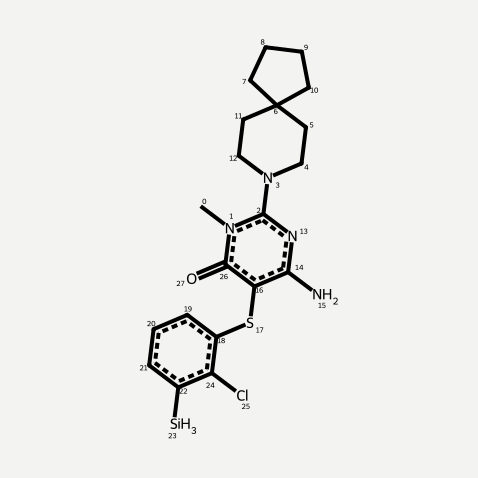 Cn1c(N2CCC3(CCCC3)CC2)nc(N)c(Sc2cccc([SiH3])c2Cl)c1=O